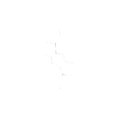 CCOC(=O)c1cc(C)c(C(=O)OCC)cc1C